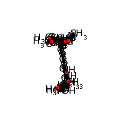 CC1=C(C)C(=O)C(C(C)(C)CC(=O)N(C)CCN(CCOCCOCCOCCOCCC(=O)NCCCNC(=O)CC[C@H](C)[C@@H]2CC[C@@H]3[C@@H]4[C@@H](CC[C@]32C)[C@]2(C)CC[C@H](O)C[C@@H]2C[C@@H]4O)C(=O)Oc2ccc3nc(C4=NC(C)CS4)sc3c2)=C(C)C1=O